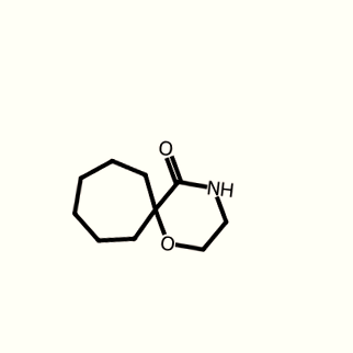 O=C1NCCOC12CCCCCC2